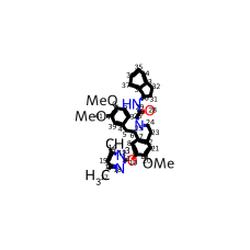 COc1ccc(CC2c3cc(Oc4nc(C)cc(C)n4)c(OC)cc3CCN2CC(=O)NC2CCc3ccccc32)cc1OC